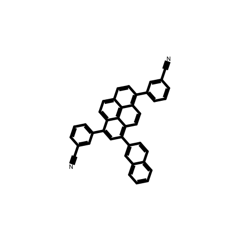 N#Cc1cccc(-c2ccc3ccc4c(-c5cccc(C#N)c5)cc(-c5ccc6ccccc6c5)c5ccc2c3c45)c1